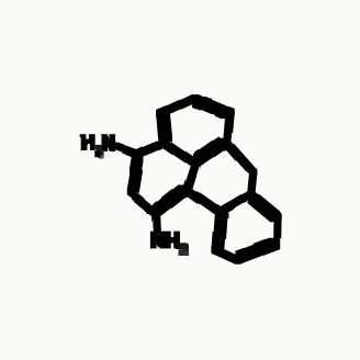 Nc1cc(N)c2cccc3c2c1-c1ccccc1C3